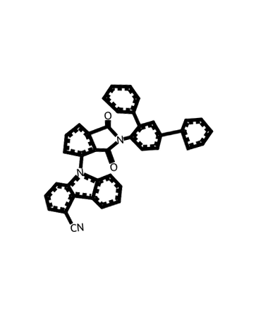 N#Cc1cccc2c1c1ccccc1n2-c1cccc2c1C(=O)N(c1ccc(-c3ccccc3)cc1-c1ccccc1)C2=O